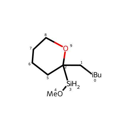 CCC(C)CC1([SiH2]OC)CCCCO1